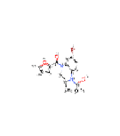 CC(=O)N1c2ccc(Br)cc2N(C(=O)c2ccco2)CC1C